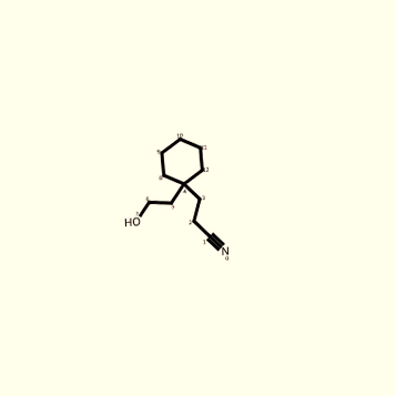 N#CCCC1(CCO)CCCCC1